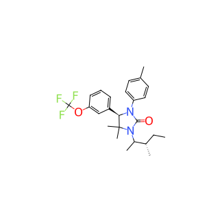 CC[C@H](C)C(C)N1C(=O)N(c2ccc(C)cc2)[C@H](c2cccc(OC(F)(F)F)c2)C1(C)C